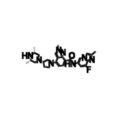 Cc1cn2cc(NC(=O)c3ccc(N4CC[C@H](N5C[C@@H](C)N[C@@H](C)C5)C4)c4cn(C)nc34)cc(F)c2n1